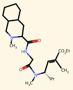 CCOC(=O)/C(C)=C/[C@H](C(C)C)N(C)C(=O)CNC(=O)C1CC2CCCCC2CN1C